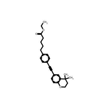 CCOC(=O)CCCCc1ccc(C#Cc2ccc3c(c2)C(C)(C)CCO3)cc1